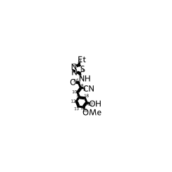 CCc1nnc(NC(=O)/C(C#N)=C/c2ccc(OC)c(O)c2)s1